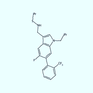 CC(C)Cn1cc(CNSC(C)C)c2cc(F)c(-c3ccccc3C(F)(F)F)cc21